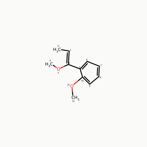 CC=C(OC)c1ccccc1OC